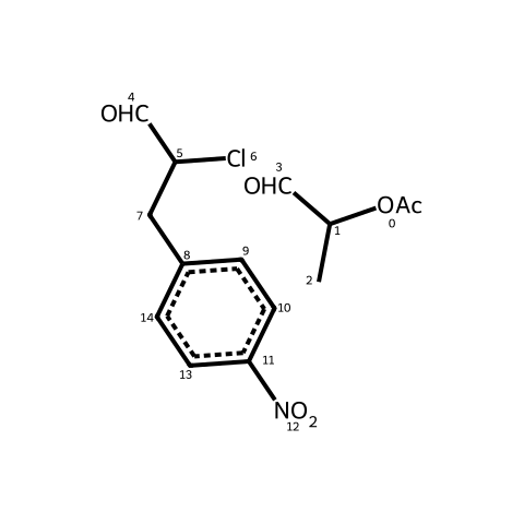 CC(=O)OC(C)C=O.O=CC(Cl)Cc1ccc([N+](=O)[O-])cc1